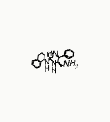 N=C(/C(=C\N)NC(=O)NC1CCCc2ccccc21)c1ccccc1